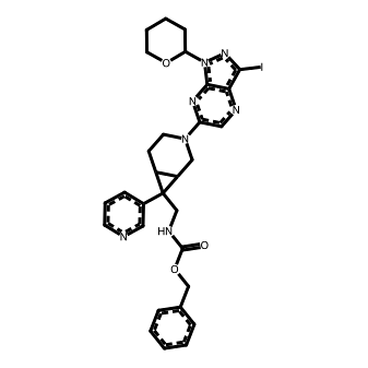 O=C(NCC1(c2cccnc2)C2CCN(c3cnc4c(I)nn(C5CCCCO5)c4n3)CC21)OCc1ccccc1